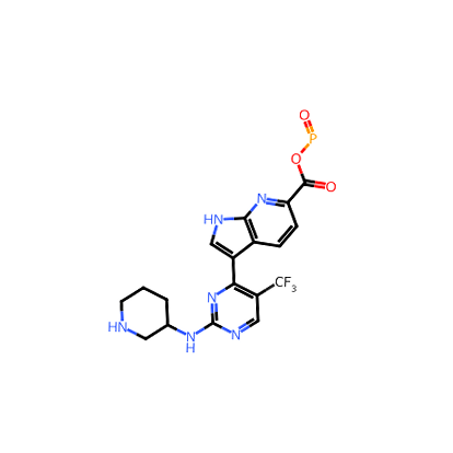 O=POC(=O)c1ccc2c(-c3nc(NC4CCCNC4)ncc3C(F)(F)F)c[nH]c2n1